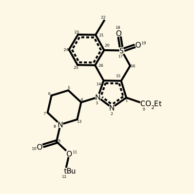 CCOC(=O)c1nn(C2CCCN(C(=O)OC(C)(C)C)C2)c2c1CS(=O)(=O)c1c(C)cccc1-2